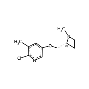 Cc1cc(OC[C@H]2CCN2C)cnc1Cl